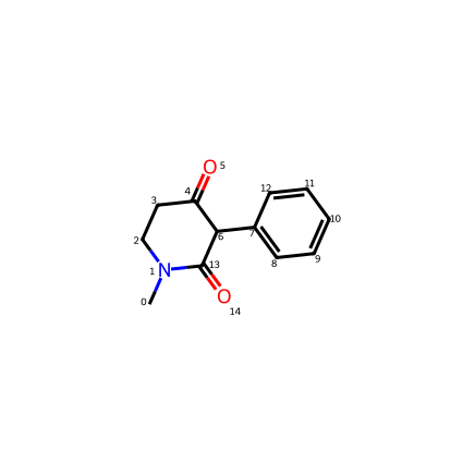 CN1CCC(=O)C(c2ccccc2)C1=O